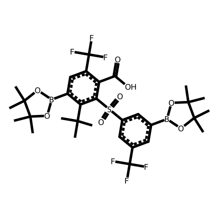 CC(C)(C)c1c(B2OC(C)(C)C(C)(C)O2)cc(C(F)(F)F)c(C(=O)O)c1S(=O)(=O)c1cc(B2OC(C)(C)C(C)(C)O2)cc(C(F)(F)F)c1